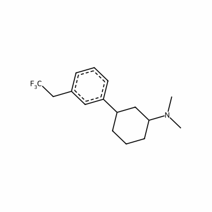 CN(C)C1CCCC(c2cccc(CC(F)(F)F)c2)C1